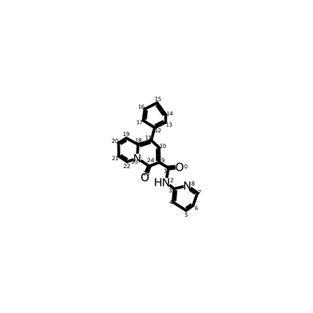 O=C(Nc1ccccn1)c1cc(-c2ccccc2)c2ccccn2c1=O